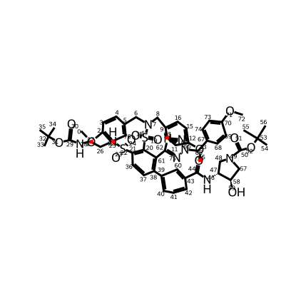 COc1ccc(CN(Cc2ccc(OC)cc2)S(=O)(=O)c2c(S(=O)(=O)NCCNC(=O)OC(C)(C)C)ccc(-c3cccc(C(=O)N[C@@H]4CN(C(=O)OC(C)(C)C)C[C@H]4O)c3)c2-c2nnn(Cc3ccc(OC)cc3)n2)cc1